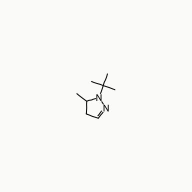 CC1CC=NN1C(C)(C)C